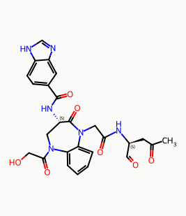 CC(=O)C[C@@H](C=O)NC(=O)CN1C(=O)[C@@H](NC(=O)c2ccc3[nH]cnc3c2)CN(C(=O)CO)c2ccccc21